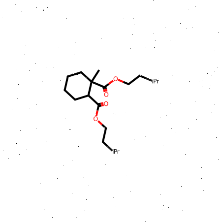 CC(C)CCOC(=O)C1CCCCC1(C)C(=O)OCCC(C)C